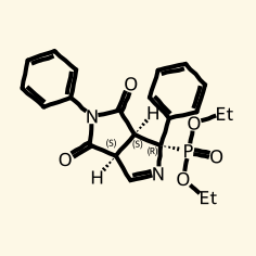 CCOP(=O)(OCC)[C@]1(c2ccccc2)N=C[C@H]2C(=O)N(c3ccccc3)C(=O)[C@H]21